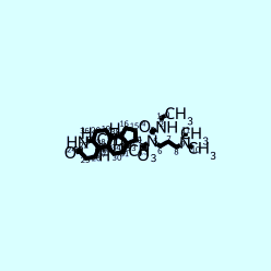 CCNC(=O)N(CCCN(C)C)C(=O)[C@H]1CC[C@H]2[C@@H]3CC[C@H]4NC(=O)CC[C@]4(C)[C@H]3CC[C@]12C